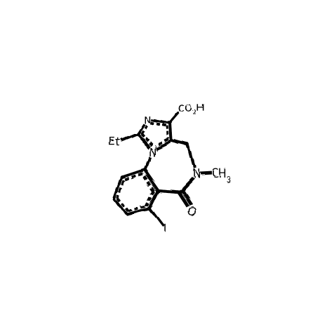 CCc1nc(C(=O)O)c2n1-c1cccc(I)c1C(=O)N(C)C2